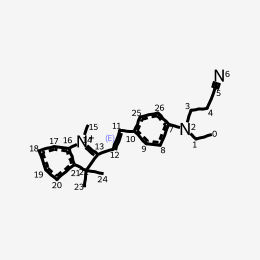 CCN(CCC#N)c1ccc(/C=C/C2=[N+](C)c3ccccc3C2(C)C)cc1